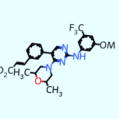 COc1cc(Nc2ncc(-c3cccc(/C=C/C(=O)O)c3)c(N3CC(C)OC(C)C3)n2)cc(C(F)(F)F)c1